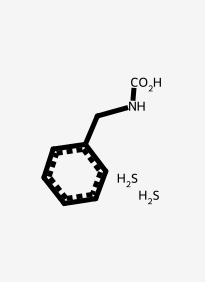 O=C(O)NCc1ccccc1.S.S